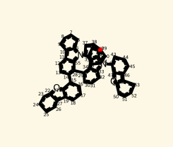 c1ccc(-n2c3ccccc3c3ccc(-c4cccc5c4oc4ccccc45)c(-c4cccc5c4c4ccccc4n5-c4cccc5c4oc4ccccc45)c32)cc1